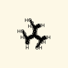 OCCOCCNc1nc(N2CCNCC2)nc(N2CCN(c3nc(N4CCN(c5nc(NCCOCCO)nc(N6CCNCC6)n5)CC4)nc(N4CCN(c5nc(NCCOCCO)nc(N6CCNCC6)n5)CC4)n3)CC2)n1